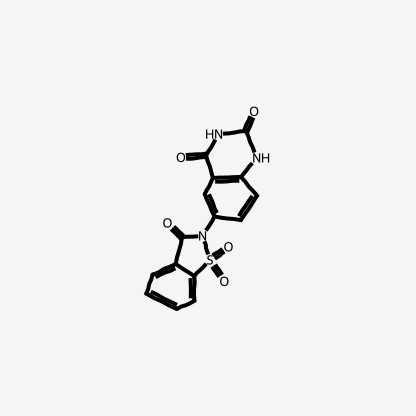 O=C1c2ccccc2S(=O)(=O)N1c1ccc2[nH]c(=O)[nH]c(=O)c2c1